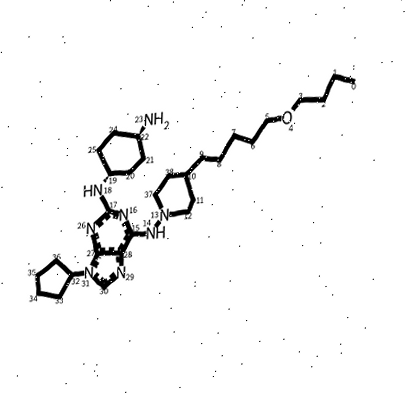 CCCCOCCCCCC1CCN(Nc2nc(N[C@H]3CC[C@H](N)CC3)nc3c2ncn3C2CCCC2)CC1